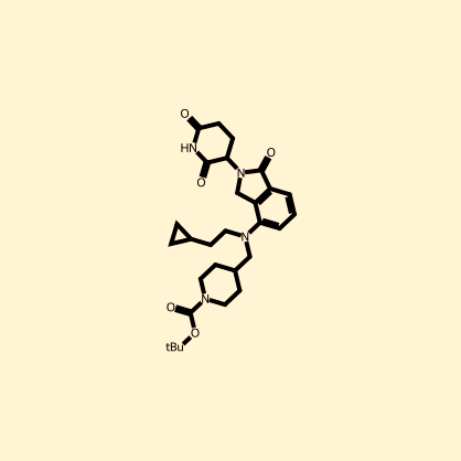 CC(C)(C)OC(=O)N1CCC(CN(CCC2CC2)c2cccc3c2CN(C2CCC(=O)NC2=O)C3=O)CC1